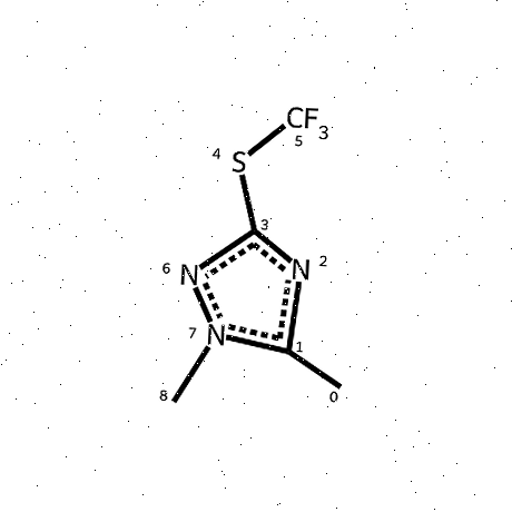 Cc1nc(SC(F)(F)F)nn1C